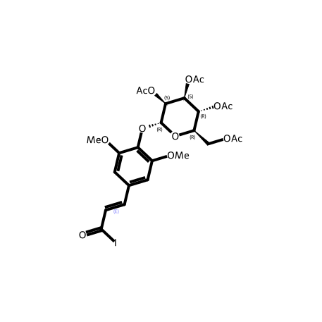 COc1cc(/C=C/C(=O)I)cc(OC)c1O[C@H]1O[C@H](COC(C)=O)[C@@H](OC(C)=O)[C@H](OC(C)=O)[C@@H]1OC(C)=O